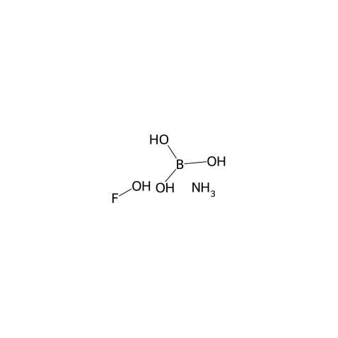 N.OB(O)O.OF